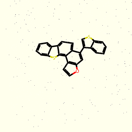 c1ccc2c(-c3cc4occc4c4c3ccc3c5ccccc5sc34)csc2c1